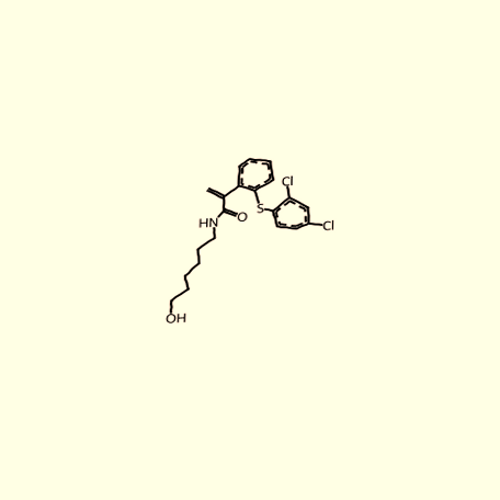 C=C(C(=O)NCCCCCCO)c1ccccc1Sc1ccc(Cl)cc1Cl